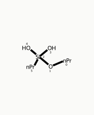 CCCO[Si](O)(O)CCC